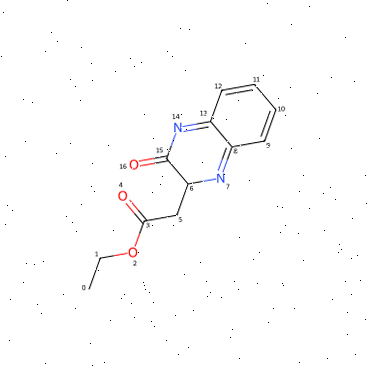 CCOC(=O)CC1N=c2ccccc2=NC1=O